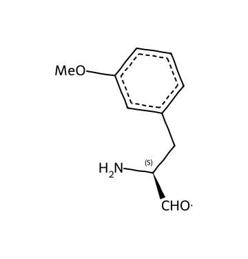 COc1cccc(C[C@H](N)[C]=O)c1